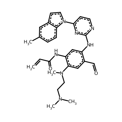 C=CC(=O)Nc1cc(Nc2nccc(-n3ccc4cc(C)ccc43)n2)c(C=O)cc1N(C)CCN(C)C